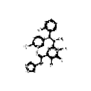 Cc1ncc([C@@H](c2ccccc2C#N)[C@@H](C)c2nc(C(=O)Nc3cnoc3)c(O)c(=O)n2C)cn1